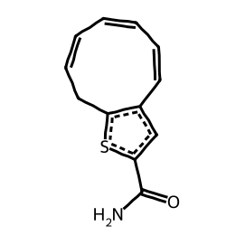 NC(=O)c1cc2c(s1)CC=CC=CC=C2